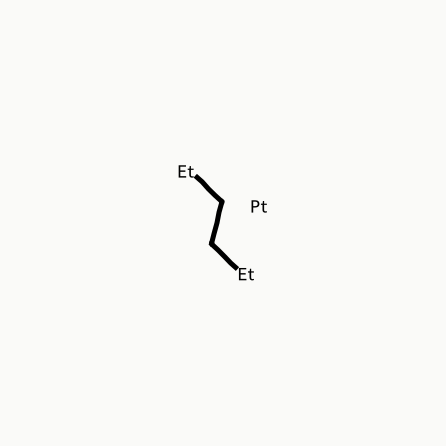 CCCCCC.[Pt]